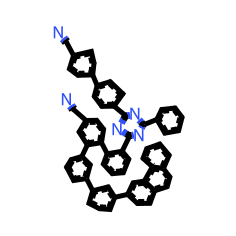 N#Cc1ccc(-c2ccc(-c3nc(-c4ccccc4)nc(-c4ccccc4-c4ccc(C#N)cc4-c4cccc(-c5cccc(-c6ccc7ccc8ccccc8c7c6)c5)c4)n3)cc2)cc1